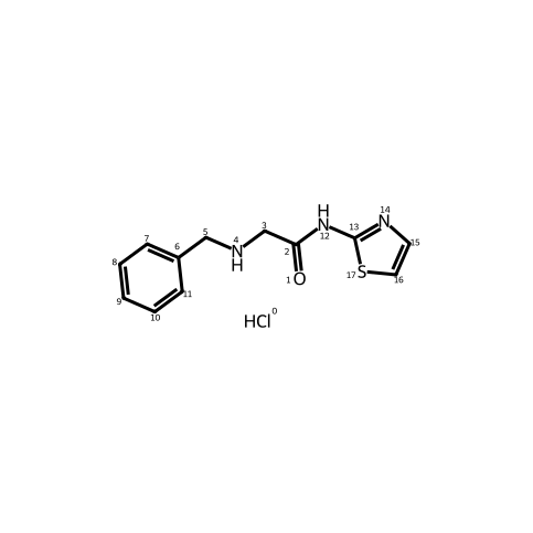 Cl.O=C(CNCc1ccccc1)Nc1nccs1